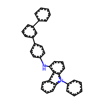 c1ccc(-c2cccc(-c3ccc(Nc4cccc5c4c4ccccc4n5-c4ccccc4)cc3)c2)cc1